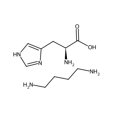 NCCCCN.N[C@@H](Cc1c[nH]cn1)C(=O)O